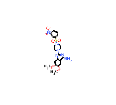 COc1cc2nc(N3CCN(S(=O)(=O)c4cccc([N+](=O)[O-])c4)CC3)nc(N)c2cc1OC